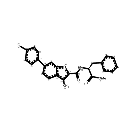 COC(=O)[C@H](Cc1ccccc1)NC(=O)c1oc2cc(-c3ccc(Cl)cc3)ccc2c1C